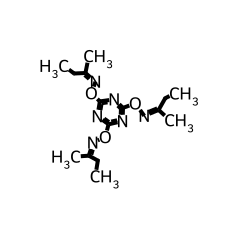 CCC(C)=NOc1nc(ON=C(C)CC)nc(ON=C(C)CC)n1